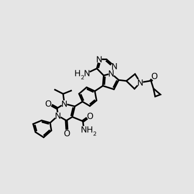 CC(C)n1c(-c2ccc(-c3cc(C4CN(C(=O)C5CC5)C4)n4ncnc(N)c34)cc2)c(C(N)=O)c(=O)n(-c2ccccc2)c1=O